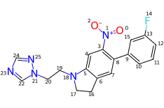 O=[N+]([O-])c1cc2c(cc1-c1cccc(F)c1)CCN2CCn1cncn1